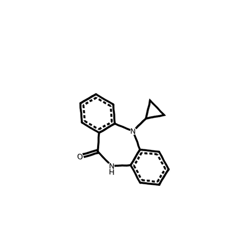 O=C1Nc2ccccc2N(C2CC2)c2ccccc21